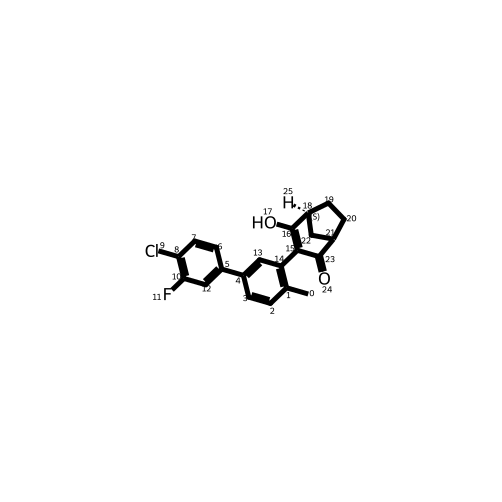 Cc1ccc(-c2ccc(Cl)c(F)c2)cc1C1=C(O)[C@H]2CCC(C2)C1=O